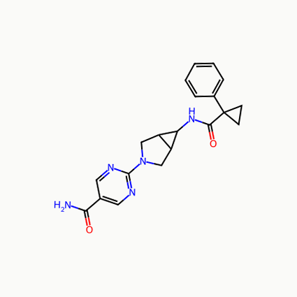 NC(=O)c1cnc(N2CC3C(C2)C3NC(=O)C2(c3ccccc3)CC2)nc1